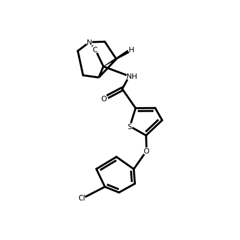 O=C(N[C@H]1CN2CCC1CC2)c1ccc(Oc2ccc(Cl)cc2)s1